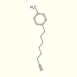 [C]#CCCCCCCc1ccc(C)cc1